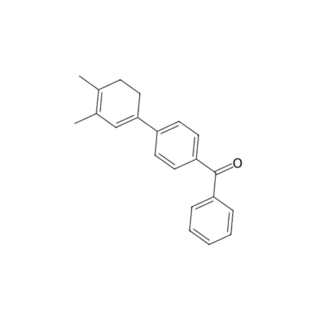 CC1=C(C)CCC(c2ccc(C(=O)c3ccccc3)cc2)=C1